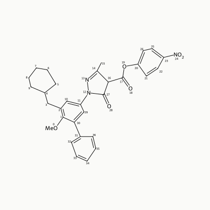 COc1c(CC2CCCCC2)cc(N2N=C(C)C(C(=O)Oc3ccc([N+](=O)[O-])cc3)C2=O)cc1-c1ccccc1